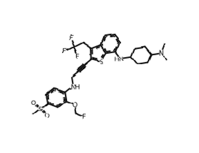 CN(C)C1CCC(Nc2cccc3c(CC(F)(F)F)c(C#CCNc4ccc(S(C)(=O)=O)cc4OCF)sc23)CC1